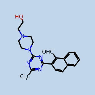 O=Cc1c(-c2nc(N3CCN(CCO)CC3)nc(C(Cl)(Cl)Cl)n2)ccc2ccccc12